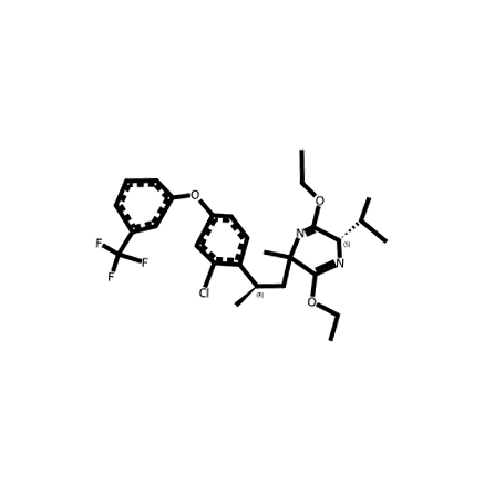 CCOC1=NC(C)(C[C@@H](C)c2ccc(Oc3cccc(C(F)(F)F)c3)cc2Cl)C(OCC)=N[C@H]1C(C)C